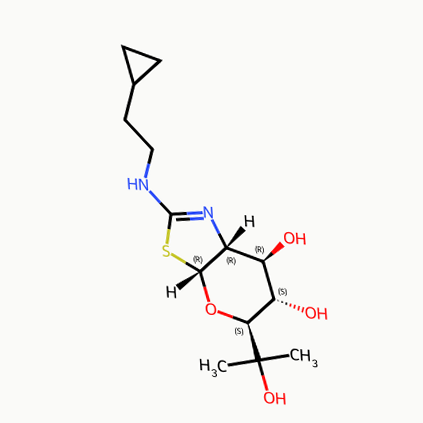 CC(C)(O)[C@H]1O[C@@H]2SC(NCCC3CC3)=N[C@@H]2[C@@H](O)[C@@H]1O